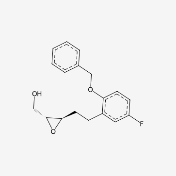 OC[C@H]1O[C@@H]1CCc1cc(F)ccc1OCc1ccccc1